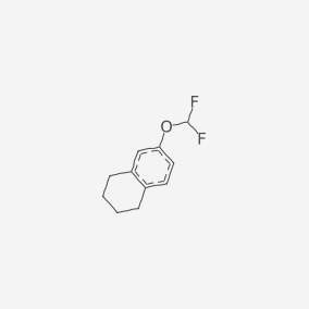 FC(F)Oc1ccc2c(c1)CCCC2